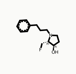 O[C@@H]1CCN(CCCc2ccccc2)[C@H]1CF